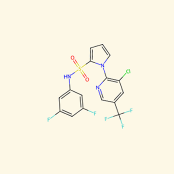 O=S(=O)(Nc1cc(F)cc(F)c1)c1cccn1-c1ncc(C(F)(F)F)cc1Cl